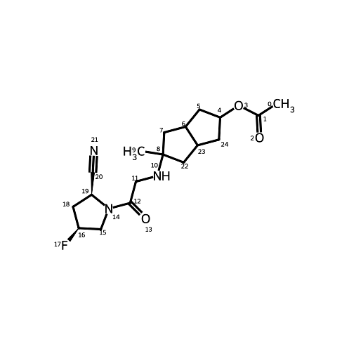 CC(=O)OC1CC2CC(C)(NCC(=O)N3C[C@@H](F)C[C@H]3C#N)CC2C1